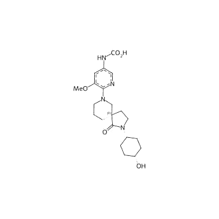 COc1cc(NC(=O)O)cnc1N1CCC[C@@]2(CCN([C@H]3CC[C@@H](O)CC3)C2=O)C1